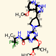 COC[C@@H](C)Oc1nc(C(=O)N[C@@H](C)C(F)(F)F)nc(N2CCC(c3n[nH]c4nccc(OC)c34)CC2)n1